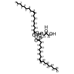 CCCCCCCC/C=C\CCCCCCCC(=O)OP(=O)(OC[C@H](O)CO)OC(=O)CCCCCCC/C=C\CCCCCCCC